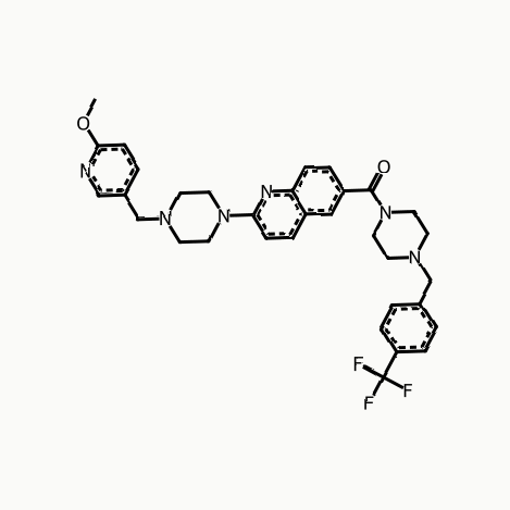 COc1ccc(CN2CCN(c3ccc4cc(C(=O)N5CCN(Cc6ccc(C(F)(F)F)cc6)CC5)ccc4n3)CC2)cn1